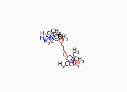 CC(CC(C)(C)N(N)C(C)(C)C)OCCCCOC1CC(C)(C)N(O)C(C)(C)C1